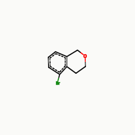 Brc1cccc2c1CCOC2